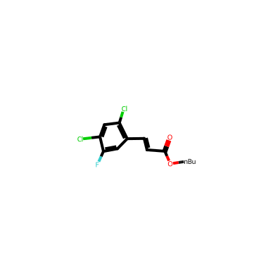 CCCCOC(=O)/C=C/c1cc(F)c(Cl)cc1Cl